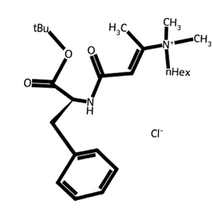 CCCCCC[N+](C)(C)/C(C)=C/C(=O)N[C@@H](Cc1ccccc1)C(=O)OC(C)(C)C.[Cl-]